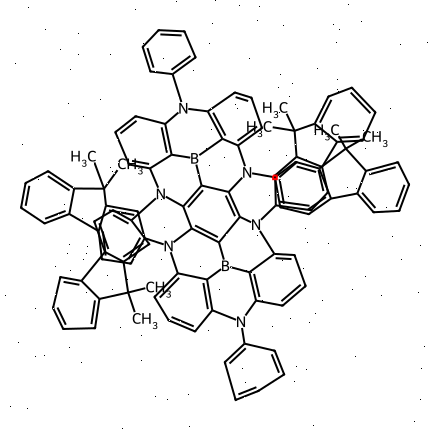 CC1(C)c2ccccc2-c2ccc(N3c4cccc5c4B4c6c(cccc6N(c6ccc7c(c6)C(C)(C)c6ccccc6-7)c6c4c3c3c4c6N(c6ccc7c(c6)C(C)(C)c6ccccc6-7)c6cccc7c6B4c4c(cccc4N3c3ccc4c(c3)C(C)(C)c3ccccc3-4)N7c3ccccc3)N5c3ccccc3)cc21